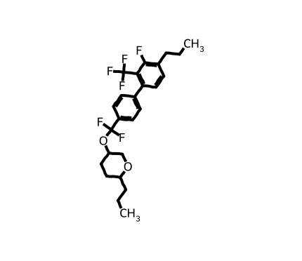 CCCc1ccc(-c2ccc(C(F)(F)OC3CCC(CCC)OC3)cc2)c(C(F)(F)F)c1F